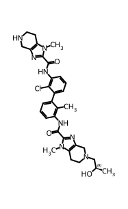 Cc1c(NC(=O)c2nc3c(n2C)CCN(C[C@@H](C)O)C3)cccc1-c1cccc(NC(=O)c2nc3c(n2C)CCNC3)c1Cl